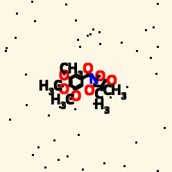 COc1cc(C(=O)N2OC(=O)C(C)(C)C2=O)cc(OC)c1OC